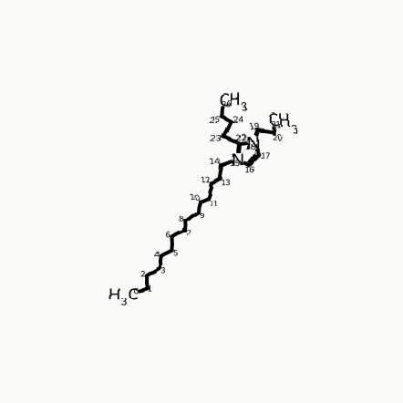 CCCCCCCCCCCCCCCN1C=CN(CCC)C1CCCC